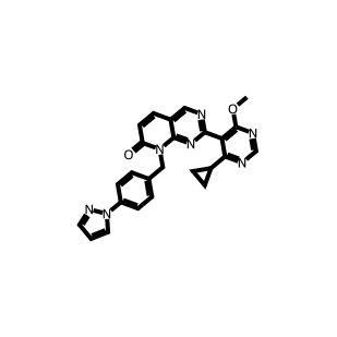 COc1ncnc(C2CC2)c1-c1ncc2ccc(=O)n(Cc3ccc(-n4cccn4)cc3)c2n1